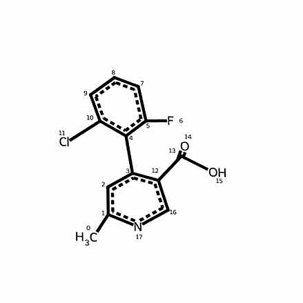 Cc1cc(-c2c(F)cccc2Cl)c(C(=O)O)cn1